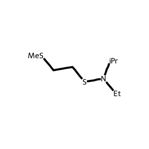 CCN(SCCSC)C(C)C